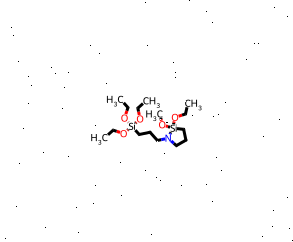 CCO[Si](CCCN1CCC[Si]1(OC)OCC)(OCC)OCC